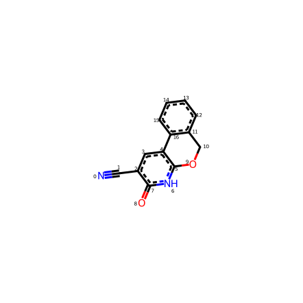 N#Cc1cc2c([nH]c1=O)OCc1ccccc1-2